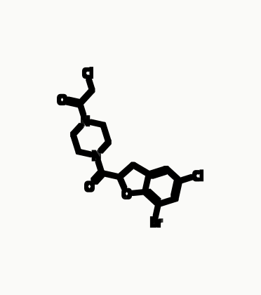 O=C(CCl)N1CCN(C(=O)C2Cc3cc(Cl)cc(Br)c3O2)CC1